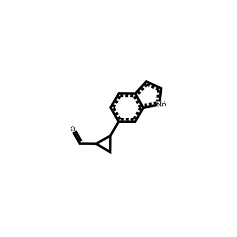 O=CC1CC1c1ccc2cc[nH]c2c1